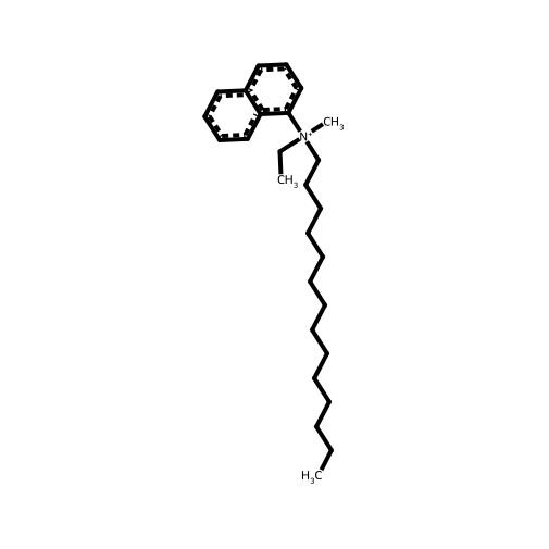 CCCCCCCCCCCCCC[N+](C)(CC)c1cccc2ccccc12